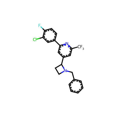 Fc1ccc(-c2cc(C3CCN3Cc3ccccc3)cc(C(F)(F)F)n2)cc1Cl